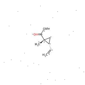 C=C[C@H]1C[C@@]1(C)C(=O)OC